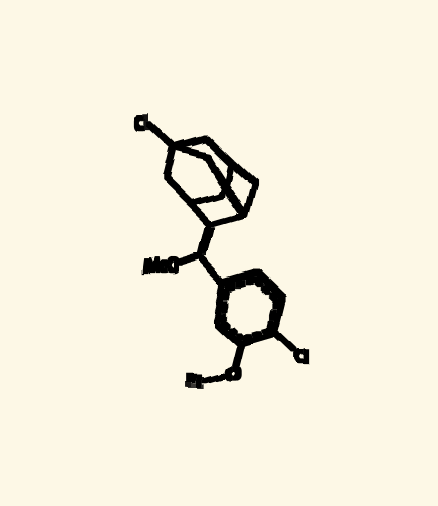 CCOc1cc(C(OC)=C2C3CC4CC2CC(Cl)(C4)C3)ccc1Cl